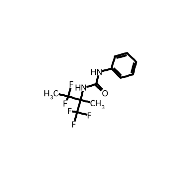 CC(F)(F)C(C)(NC(=O)Nc1ccccc1)C(F)(F)F